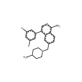 Nc1ncc(-c2cc(F)cc(F)c2)c2cc(CN3CCC(N)CC3)ccc12